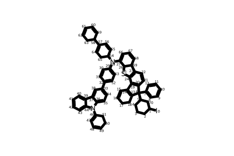 IC1CCCC(C2(c3ccccc3)C3=C(C=CCC3)c3c2ccc2c3SC3C(N(c4ccc(-c5ccc6c(c5)c5ccccc5n6C5=CC=CCC5)cc4)C4C=CC(C5C=CC=CC5)=CC4)=CC=CC23)C1